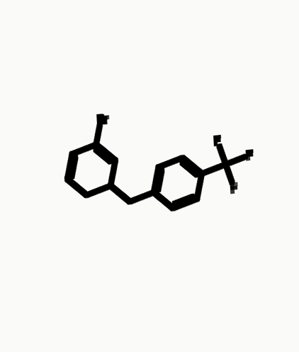 FC(F)(F)c1ccc(CC2C=C(Br)C=CC2)cc1